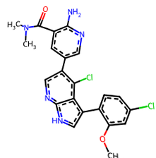 COc1cc(Cl)ccc1-c1c[nH]c2ncc(-c3cnc(N)c(C(=O)N(C)C)c3)c(Cl)c12